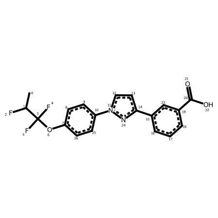 CC(F)C(F)(F)Oc1ccc(-n2ccc(-c3cccc(C(=O)O)c3)n2)cc1